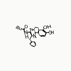 CCC(C)C(=O)Nc1nc2c(nc1Cc1ccccc1)-c1ccc(O)c(O)c1CC2